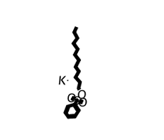 CCCCCCCCCCCCOS(=O)(=O)c1ccccc1.[K]